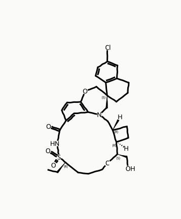 CC[C@@H]1CCCC[C@H](CO)[C@@H]2CC[C@H]2CN2C[C@@]3(CCCc4cc(Cl)ccc43)COc3ccc(cc32)C(=O)NS1(=O)=O